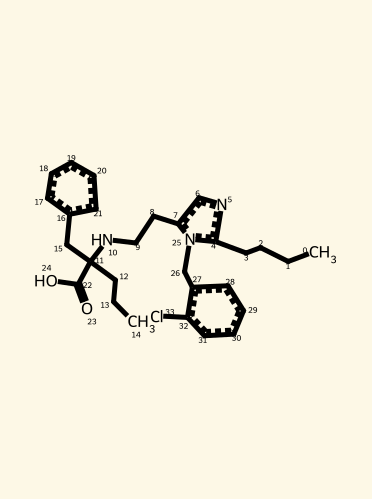 CCCCc1ncc(CCNC(CCC)(Cc2ccccc2)C(=O)O)n1Cc1ccccc1Cl